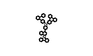 c1ccc(-c2ccccc2-c2ccc(N(c3ccc(-c4ccc(-n5c6ccccc6c6ccccc65)c5ccccc45)cc3)c3ccc4c5ccccc5c5ccccc5c4c3)cc2)cc1